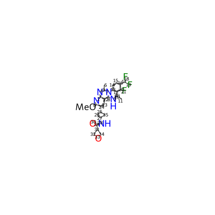 COc1nc2nc(C)nc(N[C@H](C)c3cccc(C(F)F)c3F)c2cc1[C@H]1C[C@@H](NC(=O)C2COC2)C1